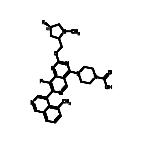 Cc1cccc2cncc(-c3ncc4c(N5CCN(C(=O)O)CC5)nc(OCC5C[C@@H](F)CN5C)nc4c3F)c12